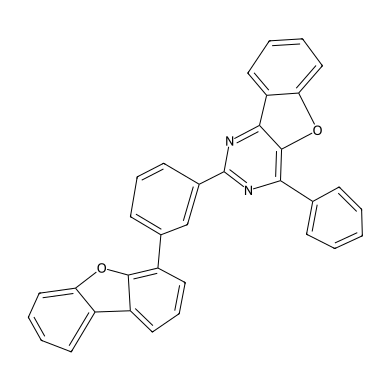 c1ccc(-c2nc(-c3cccc(-c4cccc5c4oc4ccccc45)c3)nc3c2oc2ccccc23)cc1